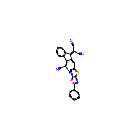 N#CC(C#N)=C1C(=Cc2cc3oc(-c4ccccc4)nc3s2)C(=C(C#N)C#N)c2ccccc21